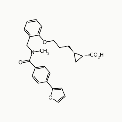 CN(Cc1ccccc1OCCC[C@@H]1C[C@H]1C(=O)O)C(=O)c1ccc(-c2ccco2)cc1